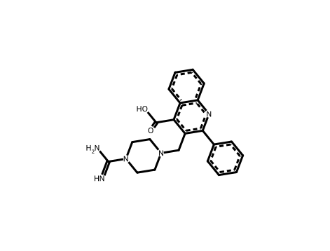 N=C(N)N1CCN(Cc2c(-c3ccccc3)nc3ccccc3c2C(=O)O)CC1